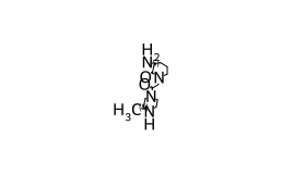 C[C@H]1CN(C(=O)CN2CCC[C@H](N)C2=O)CCN1